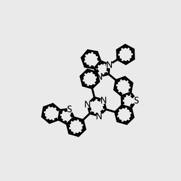 c1ccc(-c2nc(-c3cccc4c3sc3ccccc34)nc(-c3cccc4sc5ccc(-c6nc7ccccc7n6-c6ccccc6)cc5c34)n2)cc1